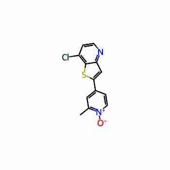 Cc1cc(-c2cc3nccc(Cl)c3s2)cc[n+]1[O-]